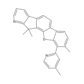 Cc1ccnc(-c2c(C)ccc3c2oc2c4c(ccc23)-c2cccnc2C4(C)C)c1